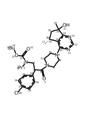 CC(C)N(CC(C(=O)N1CCN(c2ncnc3c2[C@H](C)CC3(C)O)CC1)c1ccc(Cl)cc1)C(=O)OC(C)(C)C